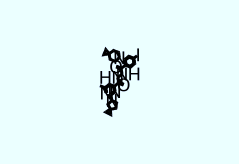 Cc1cc(C(=O)NNC(=O)c2ccc(I)cc2N2CCC3(CC2)CC3)nc(N2CCC3(CC3)C2)n1